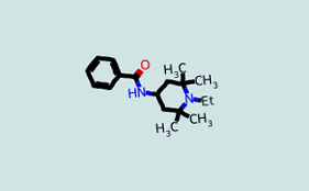 CCN1C(C)(C)CC(NC(=O)c2ccccc2)CC1(C)C